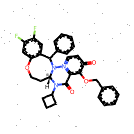 O=C1c2c(OCc3ccccc3)c(=O)ccn2N2C(c3ccccc3)c3cc(F)c(F)cc3OCC[C@H]2N1C1CCC1